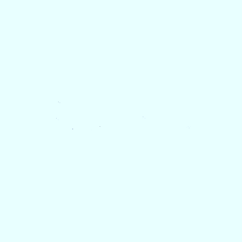 COC(C)CCCNC1C=CC(CN2Cc3ccc(C(N)N(C)C(O)C(F)(F)F)cc3C2=O)=CC1